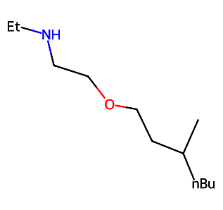 CCCCC(C)CCOCCNCC